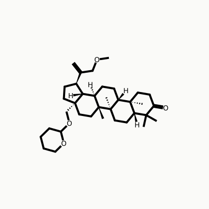 C=C(COC)[C@@H]1CC[C@]2(COC3CCCCO3)CC[C@]3(C)[C@H](CC[C@@H]4[C@@]5(C)CCC(=O)C(C)(C)[C@@H]5CC[C@]43C)[C@@H]12